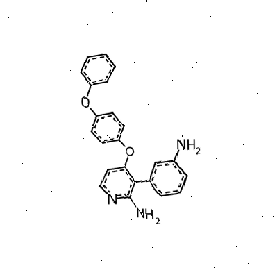 Nc1cccc(-c2c(Oc3ccc(Oc4ccccc4)cc3)ccnc2N)c1